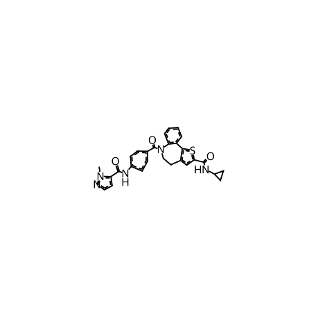 Cn1nccc1C(=O)Nc1ccc(C(=O)N2CCc3cc(C(=O)NC4CC4)sc3-c3ccccc32)cc1